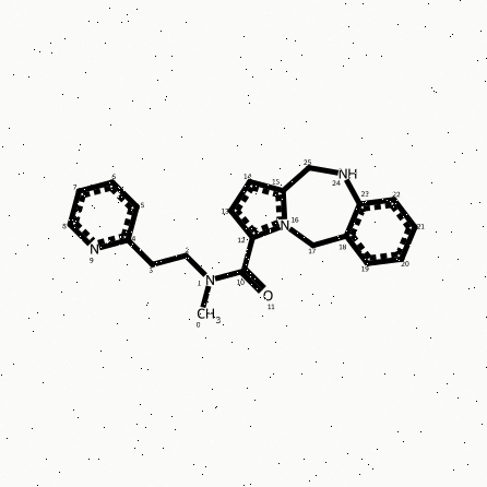 CN(CCc1ccccn1)C(=O)c1ccc2n1Cc1ccccc1NC2